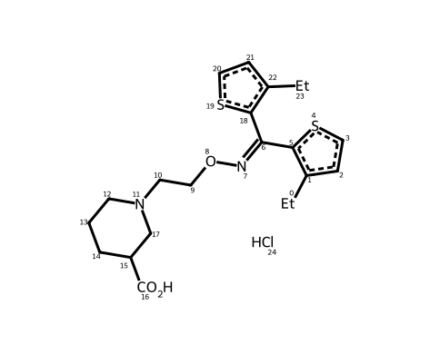 CCc1ccsc1C(=NOCCN1CCCC(C(=O)O)C1)c1sccc1CC.Cl